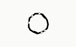 C1=CCCCCCCCC=CCCCCC1